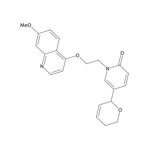 COc1ccc2c(OCCn3cc(C4C=CCCO4)ccc3=O)ccnc2c1